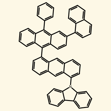 c1ccc(-c2c3ccccc3c(-c3cccc4cc5c(-n6c7ccccc7c7ccccc76)cccc5cc34)c3ccc(-c4cccc5ccccc45)cc23)cc1